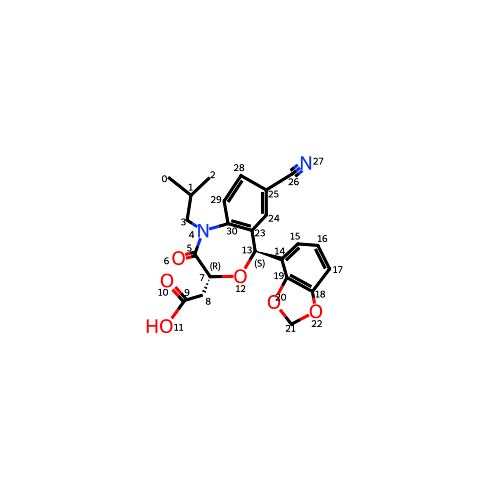 CC(C)CN1C(=O)[C@@H](CC(=O)O)O[C@H](c2cccc3c2OCO3)c2cc(C#N)ccc21